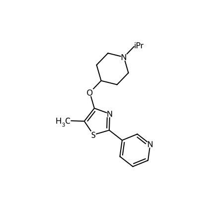 Cc1sc(-c2cccnc2)nc1OC1CCN(C(C)C)CC1